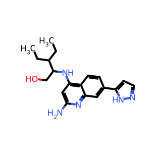 CCC(CC)C(CO)Nc1cc(N)nc2cc(-c3ccn[nH]3)ccc12